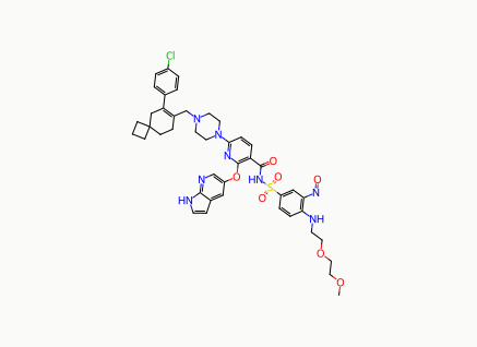 COCCOCCNc1ccc(S(=O)(=O)NC(=O)c2ccc(N3CCN(CC4=C(c5ccc(Cl)cc5)CC5(CCC5)CC4)CC3)nc2Oc2cnc3[nH]ccc3c2)cc1N=O